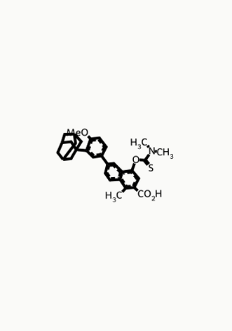 COc1ccc(-c2ccc3c(C)c(C(=O)O)cc(OC(=S)N(C)C)c3c2)cc1C12CC3CC(CC(C3)C1)C2